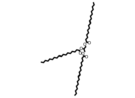 CCCCCCCCC=CCCCCCCCC(=O)OCC(COC(=O)CCCCCCCC=CCCCCCCCC)OC(=O)CCCCCCCC=CCCCCCCCC